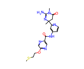 CSCCOc1cnc(C(=O)Nc2ccnc(C3(C)CC(=O)N(C)C(N)=N3)c2)cn1